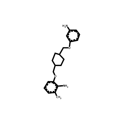 Cc1cccc(OCC2CCC(COc3cccc(N)c3)CC2)c1N